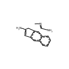 CN=CN.NC1=Cc2cc3ccccc3cc2C1